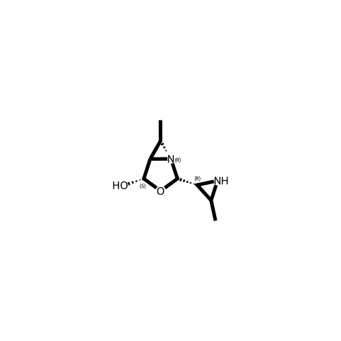 CC1N[C@H]1C1O[C@H](O)C2C(C)[N@]12